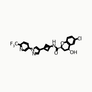 O=C(NC12CC(c3cnn(-c4ccc(C(F)(F)F)nc4)c3)(C1)C2)[C@@H]1C[C@@H](O)c2cc(Cl)ccc2O1